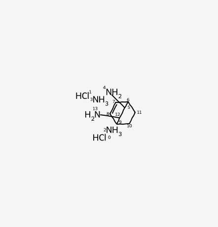 Cl.Cl.N.N.NC1C2C=CC(CC2)C1N